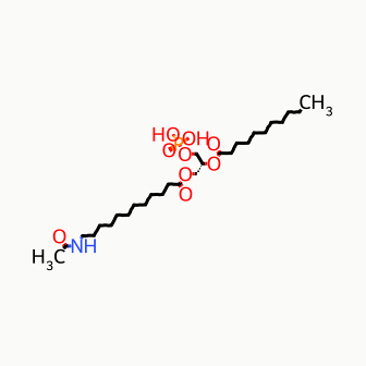 CCCCCCCCCCC(=O)O[C@H](COC(=O)CCCCCCCCCCCNC(C)=O)COP(=O)(O)O